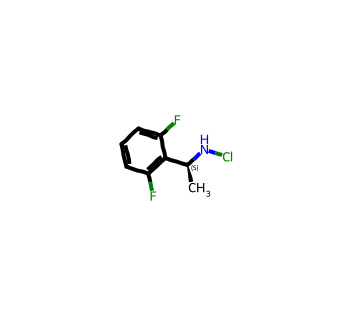 C[C@H](NCl)c1c(F)cccc1F